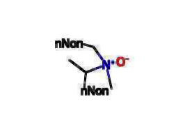 CCCCCCCCCC[N+](C)([O-])C(C)CCCCCCCCC